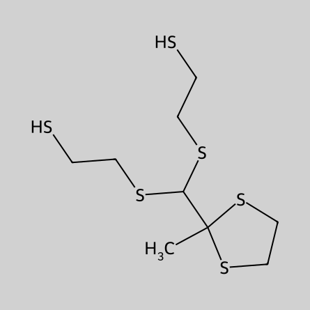 CC1(C(SCCS)SCCS)SCCS1